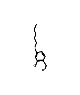 CCCCCOc1ccc(CBr)c(Cl)c1